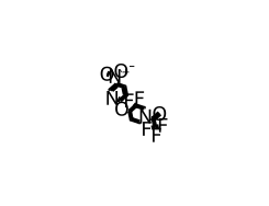 O=C(N1CCC(Oc2ccc([N+](=O)[O-])cn2)C(F)(F)C1)C(F)(F)F